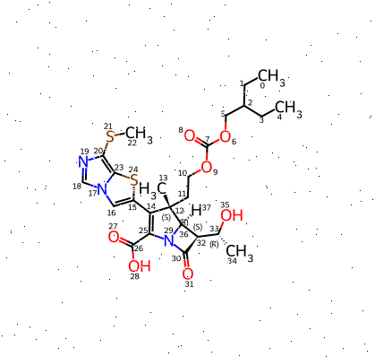 CCC(CC)COC(=O)OCC[C@@]1(C)C(c2cn3cnc(SC)c3s2)=C(C(=O)O)N2C(=O)[C@H]([C@@H](C)O)[C@@H]21